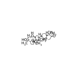 CC(C)(O)C1CCC(C)([C@H]2[C@@H](O)C[C@@]3(C)[C@@H]4CC[C@H]5C(C)(C)C(=O)CC[C@@]56C[C@@]46CC[C@]23C)O1